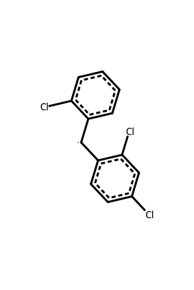 Clc1ccc([CH]c2ccccc2Cl)c(Cl)c1